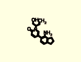 C=CC(CO)n1cc(-c2ccc3c(c2N)CCC3)ccc1=O